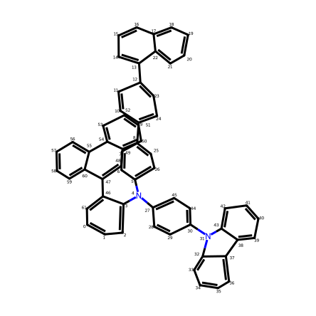 c1ccc(N(c2ccc(-c3ccc(-c4cccc5ccccc45)cc3)cc2)c2ccc(-n3c4ccccc4c4ccccc43)cc2)c(-c2cc3ccccc3c3ccccc23)c1